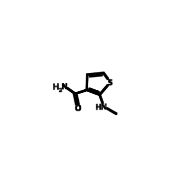 CNc1sccc1C(N)=O